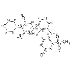 CS(=O)(=O)c1cc(Cl)ccc1Nc1cccc2c1C[C@]21CC(=O)N(C2CCOCC2)C(=N)N1